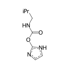 CC(C)CNC(=O)Oc1ncc[nH]1